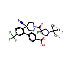 CC(C)(C)N1CC[C@](F)(C(=O)N2CCC(C#N)(c3ccc(C(F)(F)F)cc3-c3ccc(C(=O)O)cc3)CC2)C1